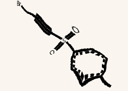 Cc1ccc(S(=O)(=O)C#CBr)cc1